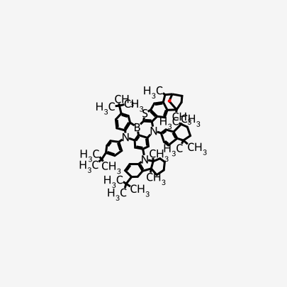 CC1c2cc3sc4c(c3cc2C2(C)CCC1CC2)N(c1ccc2c(c1)C(C)(C)CCC2(C)C)c1cc(N2C3=C(CC(C(C)(C)C)C=C3)C3(C)CCCCC23C)cc2c1B4c1cc(C(C)(C)C)ccc1N2c1ccc(C(C)(C)C)cc1